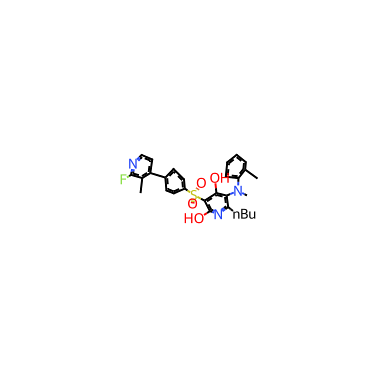 CCCCc1nc(O)c(S(=O)(=O)c2ccc(-c3ccnc(F)c3C)cc2)c(O)c1N(C)c1ccccc1C